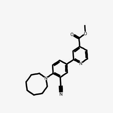 COC(=O)c1ccnc(-c2ccc(N3CCCCCCC3)c(C#N)c2)c1